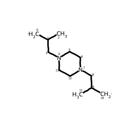 [CH2]C(C)CN1CCN(CC([CH2])C)CC1